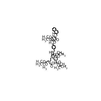 CC(C)(C)OC(=O)CN(CCN(CCN(CC(=O)OC(C)(C)C)CC(=O)OC(C)(C)C)CC(=O)NCc1ccc(CONC(=O)[C@@H](Cc2ccc3ccccc3c2)NC(=O)OC(C)(C)C)cc1)CC(=O)O